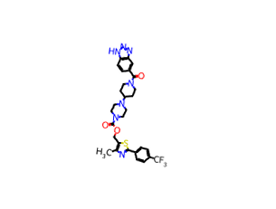 Cc1nc(-c2ccc(C(F)(F)F)cc2)sc1COC(=O)N1CCN(C2CCN(C(=O)c3ccc4[nH]nnc4c3)CC2)CC1